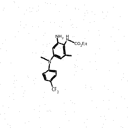 CCOC(=O)Nc1c(C)cc(N(C)c2ccc(C(F)(F)F)cc2)cc1N